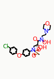 CS(=O)(=O)N(C[C@H](O)C(=O)N(O)CCN1CCOCC1)c1ccc(Oc2ccc(Cl)cc2)cc1